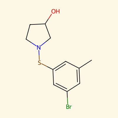 Cc1cc(Br)cc(SN2CCC(O)C2)c1